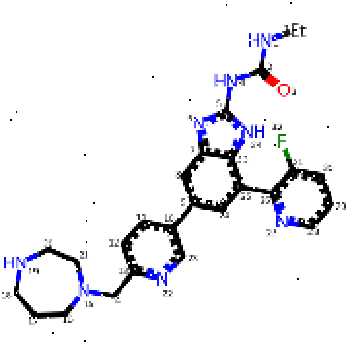 CCNC(=O)Nc1nc2cc(-c3ccc(CN4CCCNCC4)nc3)cc(-c3ncccc3F)c2[nH]1